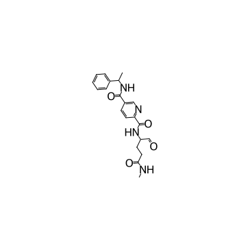 CNC(=O)CCC(C=O)NC(=O)c1ccc(C(=O)NC(C)c2ccccc2)cn1